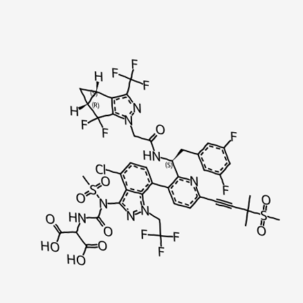 CC(C)(C#Cc1ccc(-c2ccc(Cl)c3c(N(C(=O)NC(C(=O)O)C(=O)O)S(C)(=O)=O)nn(CC(F)(F)F)c23)c([C@H](Cc2cc(F)cc(F)c2)NC(=O)Cn2nc(C(F)(F)F)c3c2C(F)(F)[C@@H]2C[C@H]32)n1)S(C)(=O)=O